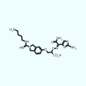 N=C(NCCCCN)N1Cc2ccc(OCC(O/N=C(\C(N)=O)c3csc(N)n3)C(=O)O)cc2C1